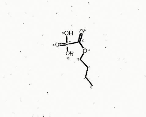 CCCCOC(=O)P(=O)(O)O